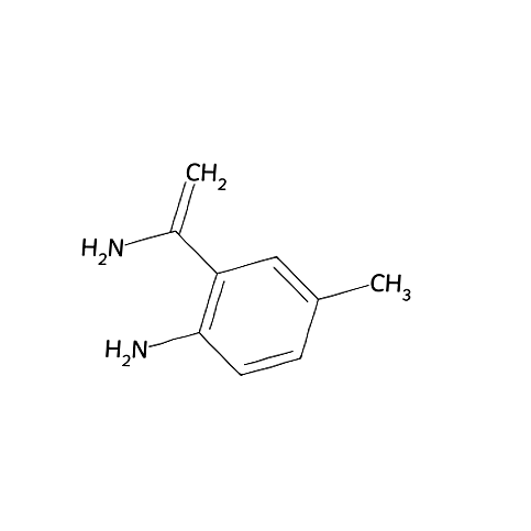 C=C(N)c1cc(C)ccc1N